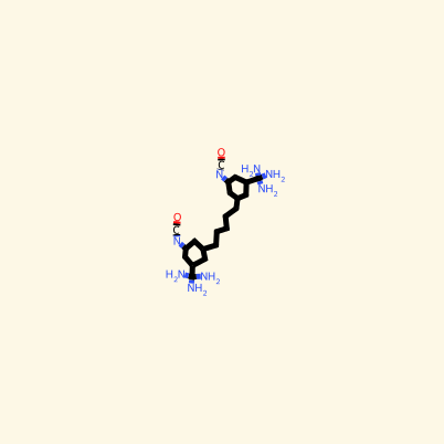 NC(N)(N)C1CC(CCCCCC2CC(N=C=O)CC(C(N)(N)N)C2)CC(N=C=O)C1